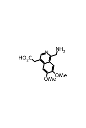 COc1cc2c(CC(=O)O)cnc(CN)c2cc1OC